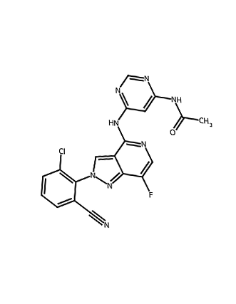 CC(=O)Nc1cc(Nc2ncc(F)c3nn(-c4c(Cl)cccc4C#N)cc23)ncn1